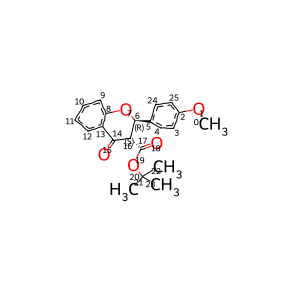 COc1ccc([C@@H]2Oc3ccccc3C(=O)[C@H]2C(=O)OC(C)(C)C)cc1